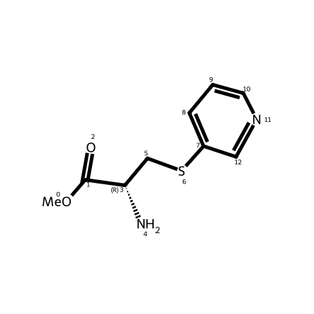 COC(=O)[C@@H](N)CSc1cccnc1